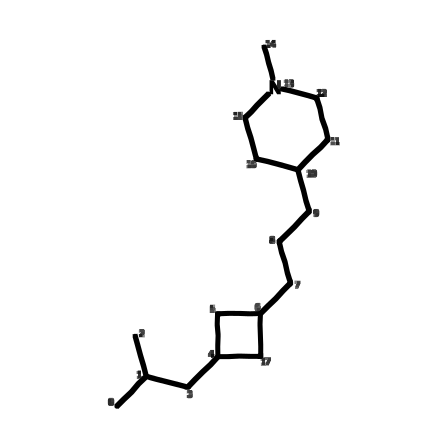 CC(C)CC1CC(CCCC2CCN(C)CC2)C1